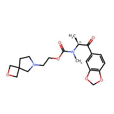 C[C@@H](C(=O)c1ccc2c(c1)OCO2)N(C)C(=O)OCCN1CCC2(COC2)C1